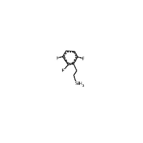 Fc1ccc(F)c(CC[SiH3])c1F